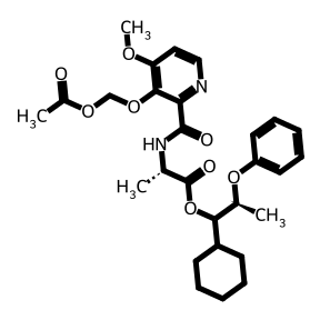 COc1ccnc(C(=O)N[C@@H](C)C(=O)OC(C2CCCCC2)[C@H](C)Oc2ccccc2)c1OCOC(C)=O